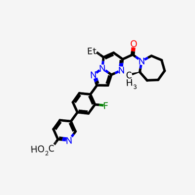 CCc1cc(C(=O)N2CCCCC[C@H]2C)nc2cc(-c3ccc(-c4ccc(C(=O)O)nc4)cc3F)nn12